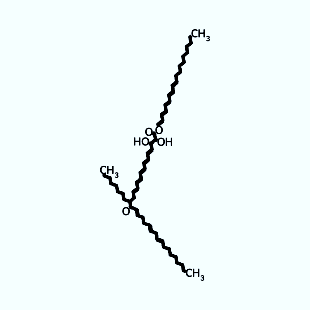 CCCCCCCCC=CCC=CCCC=CC(=O)C(CC=CC=CC=CC=CC=CC(O)C(O)C(=O)OC=CC=CC=CC=CC=CCCCCCCCCCC)CCCCCCCC